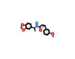 COc1cccc(/C=C\C(=O)NC(C)c2ccc3c(c2)OCO3)c1